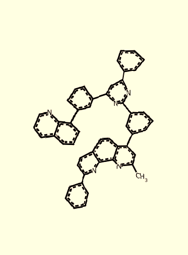 Cc1cc(-c2cccc(-c3nc(-c4ccccc4)cc(-c4cccc(-c5cccc6cccnc56)c4)n3)c2)c2ccc3ccc(-c4ccccc4)nc3c2n1